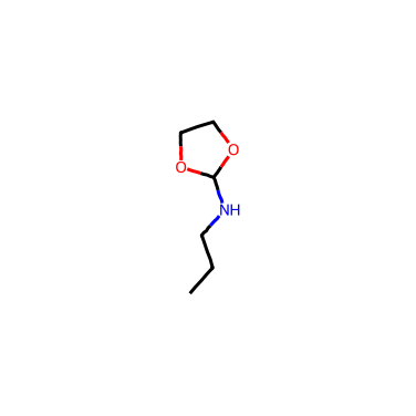 CCCNC1OCCO1